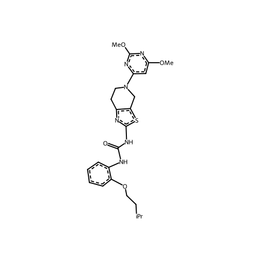 COc1cc(N2CCc3nc(NC(=O)Nc4ccccc4OCCC(C)C)sc3C2)nc(OC)n1